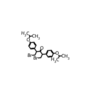 CC(C)Oc1ccc(C(CBr)C(=O)C(CBr)c2ccc(OC(C)C)cc2)cc1